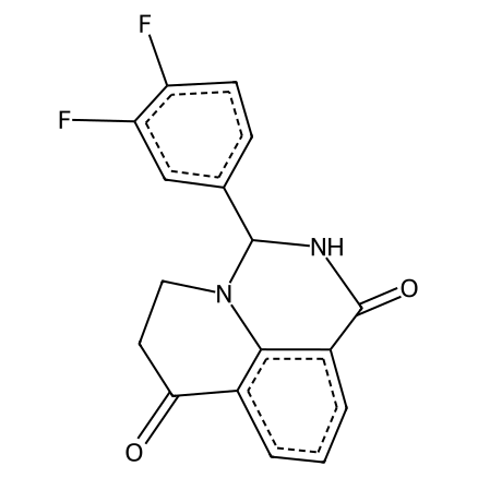 O=C1CCN2c3c1cccc3C(=O)NC2c1ccc(F)c(F)c1